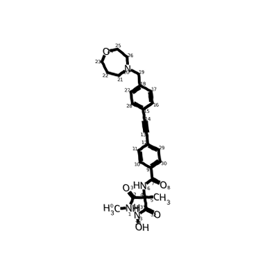 CNC(=O)C(C)(NC(=O)c1ccc(C#Cc2ccc(CN3CCCOCC3)cc2)cc1)C(=O)NO